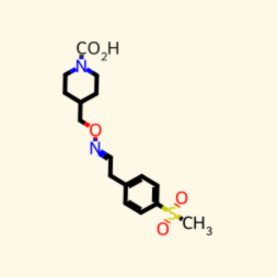 CS(=O)(=O)c1ccc(CC=NOCC2CCN(C(=O)O)CC2)cc1